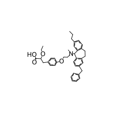 CCCc1ccc2c(c1)C(N(C)CCOc1ccc(CC(OCC)C(=O)O)cc1)c1ccc(Cc3ccccc3)cc1CC2